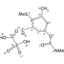 CNC(=O)Oc1cc(C)c(SC)c(C)c1.O=C(O)S(=O)(=O)O